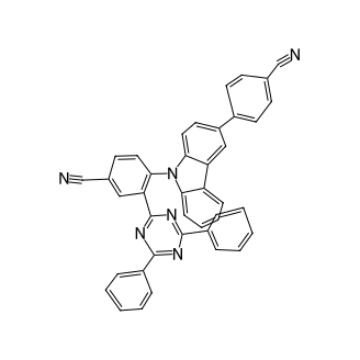 N#Cc1ccc(-c2ccc3c(c2)c2ccccc2n3-c2ccc(C#N)cc2-c2nc(-c3ccccc3)nc(-c3ccccc3)n2)cc1